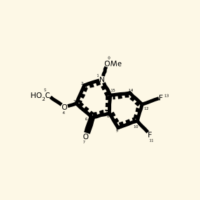 COn1cc(OC(=O)O)c(=O)c2cc(F)c(F)cc21